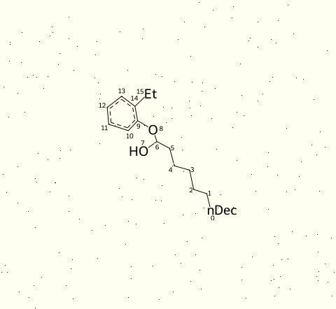 CCCCCCCCCCCCCCCC(O)Oc1ccccc1CC